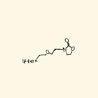 CCCCCCCCOCCN1CCOC1=O